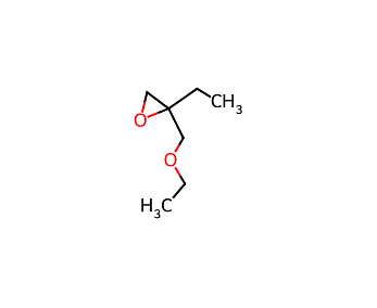 CCOCC1(CC)CO1